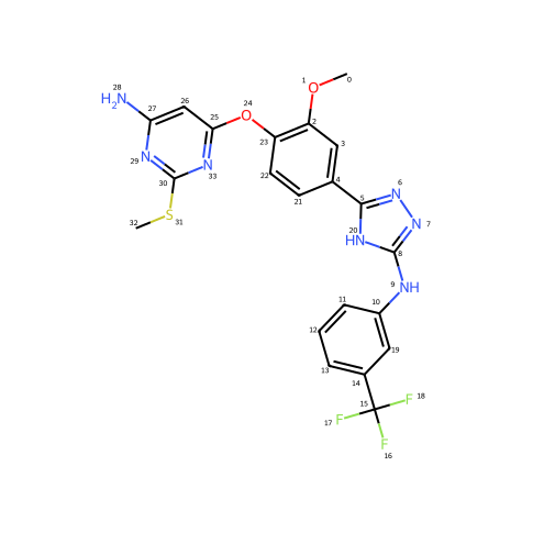 COc1cc(-c2nnc(Nc3cccc(C(F)(F)F)c3)[nH]2)ccc1Oc1cc(N)nc(SC)n1